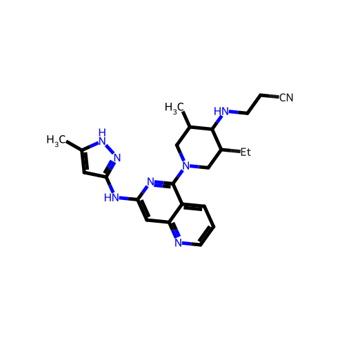 CCC1CN(c2nc(Nc3cc(C)[nH]n3)cc3ncccc23)CC(C)C1NCCC#N